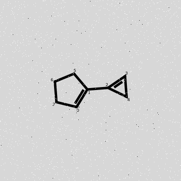 [C]1=C(C2=CC2)CCC1